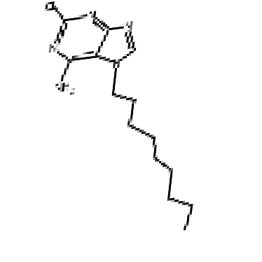 CCCCCCCCCn1cnc2nc(Cl)nc(N)c21